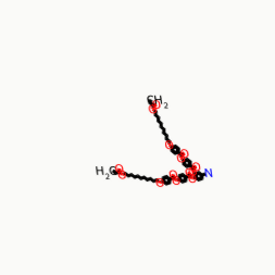 C=CC(=O)OCCCCCCCCCCCOc1ccc(C(=O)Oc2ccc(C(=O)Oc3ccc(C#N)cc3OC(=O)c3ccc(OC(=O)c4ccc(OCCCCCCCCCCCOC(=O)C=C)cc4)cc3)cc2)cc1